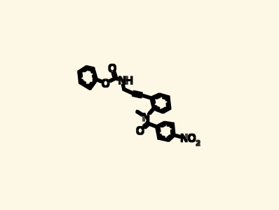 CN(C(=O)c1ccc([N+](=O)[O-])cc1)c1ccccc1C#CCNC(=O)Oc1ccccc1